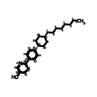 CCCCCCCC[C@H]1CC[C@H](c2ccc(-c3ncc(O)cn3)cc2)CC1